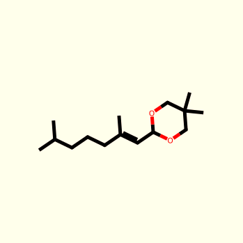 C/C(=C\C1OCC(C)(C)CO1)CCCC(C)C